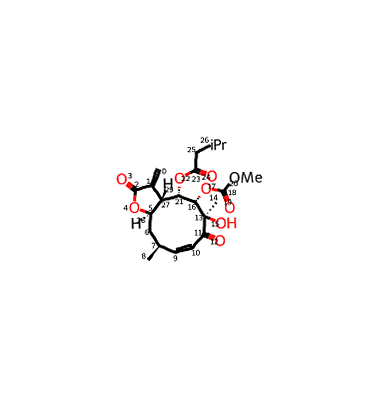 C=C1C(=O)O[C@@H]2C[C@H](C)/C=C\C(=O)[C@](C)(O)[C@@H](OC(=O)OC)[C@@H](OC(=O)CC(C)C)[C@@H]12